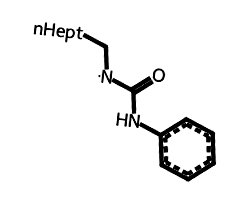 CCCCCCCC[N]C(=O)Nc1ccccc1